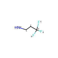 [NH]CCC(F)(F)F